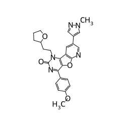 COc1ccc(-c2nc(=O)n(CCC3CCCO3)c3c2oc2ncc(-c4cnn(C)c4)cc23)cc1